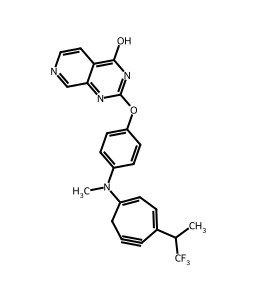 CC(C1=CC=C(N(C)c2ccc(Oc3nc(O)c4ccncc4n3)cc2)CC#C1)C(F)(F)F